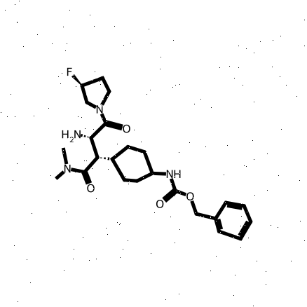 CN(C)C(=O)[C@@H](C1CCC(NC(=O)OCc2ccccc2)CC1)[C@H](N)C(=O)N1CC[C@H](F)C1